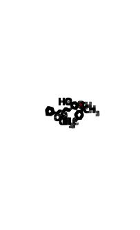 CC(=O)O[C@H](/C=C/[C@H]1[C@H](O)CC(=O)[C@@H]1C1C[C@H](C)CCC1C(C)C)CCc1ccccc1